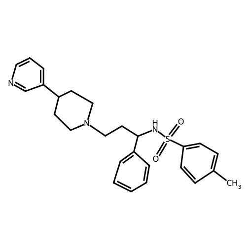 Cc1ccc(S(=O)(=O)NC(CCN2CCC(c3cccnc3)CC2)c2ccccc2)cc1